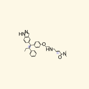 CC/C(=C(/c1ccc(OCCNC/C=C/C(=O)N(C)C)cc1)c1ccc2[nH]ncc2c1)c1ccccc1